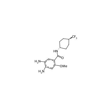 COc1cc(N)c(N)cc1C(=O)N[C@H]1CC[C@H](C(F)(F)F)CC1